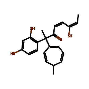 C/C=C(S)\C=C/C(=S)C(C)(C1=CC=CC(C)C=C1)c1ccc(S)cc1S